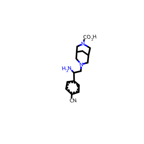 N#Cc1ccc(C(N)CN2CC3CC(C2)CN(C(=O)O)C3)cc1